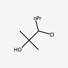 CCCC(Cl)C(C)(C)O